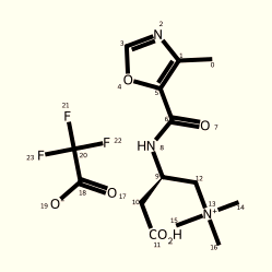 Cc1ncoc1C(=O)N[C@H](CC(=O)O)C[N+](C)(C)C.O=C([O-])C(F)(F)F